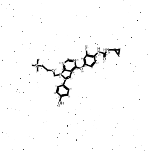 C[Si](C)(C)CCOCn1c(-c2ccc(O)cc2)cc2c(Oc3ccc(NC(=O)NC4CC4)c(F)c3)ncnc21